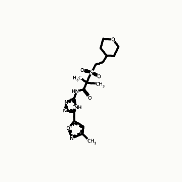 Cc1cc(-c2nnc(NC(=O)C(C)(C)S(=O)(=O)CCC3CCOCC3)[nH]2)on1